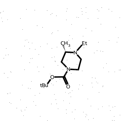 CCN1CCN(C(=O)OC(C)(C)C)C[C@@H]1C